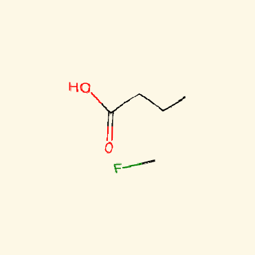 CCCC(=O)O.CF